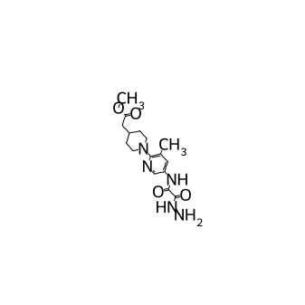 COC(=O)CC1CCN(c2ncc(NC(=O)C(=O)NN)cc2C)CC1